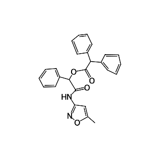 Cc1cc(NC(=O)C(OC(=O)C(c2ccccc2)c2ccccc2)c2ccccc2)no1